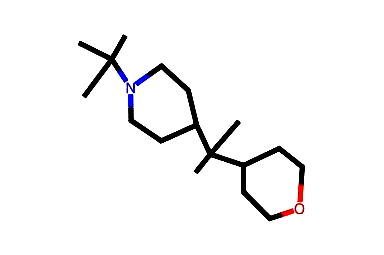 CC(C)(C1CCOCC1)C1CCN(C(C)(C)C)CC1